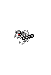 COc1cc2c(c3c1c(=O)c1cc4ccccc4cc1n3C)C(OC(C)=O)C(C(O)(CO)C(=O)O)C(C)(C)O2